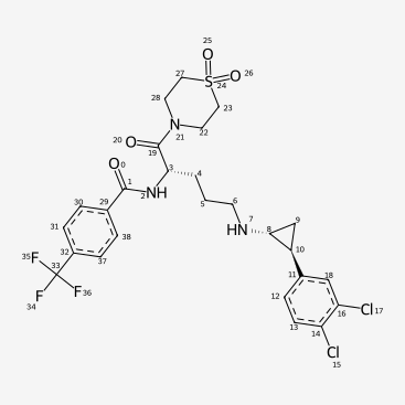 O=C(N[C@@H](CCCN[C@@H]1C[C@H]1c1ccc(Cl)c(Cl)c1)C(=O)N1CCS(=O)(=O)CC1)c1ccc(C(F)(F)F)cc1